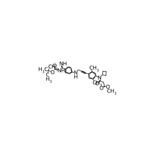 COC(=O)CC(=O)N(c1cc(C)c(C#CCNc2ccc(C(=N)NC(=O)OC(C)(C)C)cc2)cc1C)C1CCC1